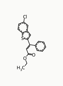 CCOC(=O)C=C(c1ccccc1)c1cc2cc(Cl)ccc2s1